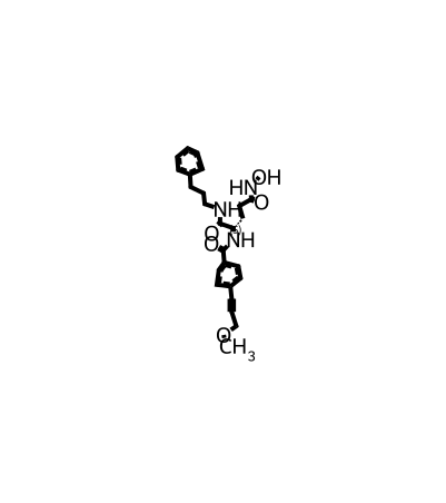 COCC#Cc1ccc(C(=O)N[C@@H](CCC(=O)NO)C(=O)NCCCc2ccccc2)cc1